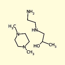 CC(O)CNCCN.CN1CCN(C)CC1